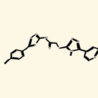 Cc1ccc(-c2nnc(NC(=O)CSc3nnc(-c4ccncc4)n3C)s2)cc1